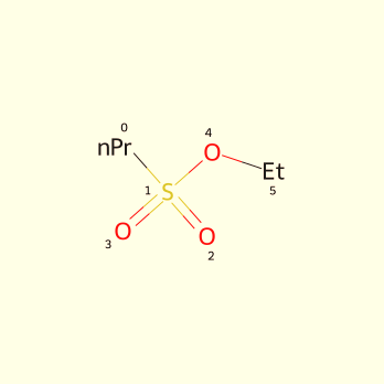 [CH2]CCS(=O)(=O)OCC